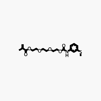 C=C(C)C(=O)OCCOCCOCCOC(=O)Nc1cccc(SC)c1